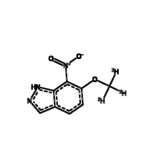 [2H]C([2H])([2H])Oc1ccc2cn[nH]c2c1[N+](=O)[O-]